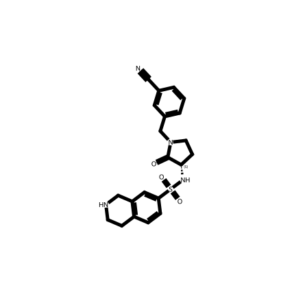 N#Cc1cccc(CN2CC[C@H](NS(=O)(=O)c3ccc4c(c3)CNCC4)C2=O)c1